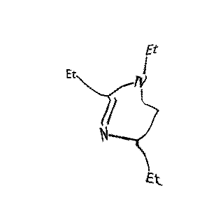 CCC1=NC(CC)CN1CC